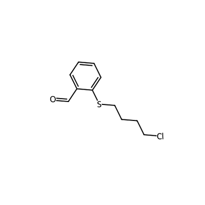 O=Cc1ccccc1SCCCCCl